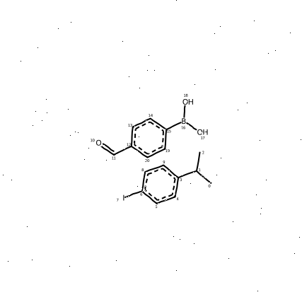 CC(C)c1ccc(I)cc1.O=Cc1ccc(B(O)O)cc1